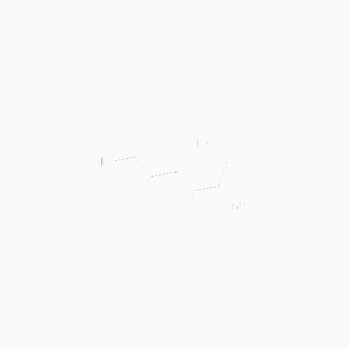 CCCC(CO)CCCCC(C)C